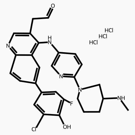 CNC1CCCN(c2ccc(Nc3c(CC=O)cnc4ccc(-c5cc(F)c(O)c(Cl)c5)cc34)cn2)C1.Cl.Cl.Cl